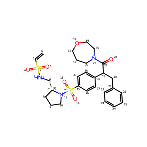 C=CS(=O)(=O)NC[C@H]1CCCN1S(=O)(=O)c1ccc(C(Cc2ccccc2)C(=O)N2CCCOCC2)cc1